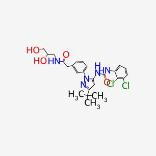 CC(C)(C)c1cc(NC(=O)Nc2cccc(Cl)c2Cl)n(-c2cccc(CC(=O)NCC(O)CO)c2)n1